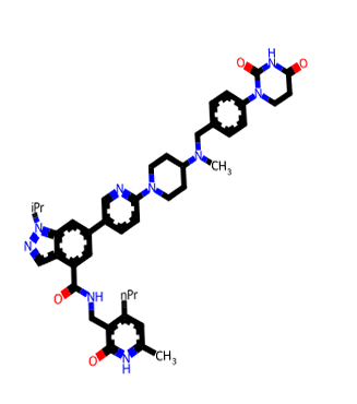 CCCc1cc(C)[nH]c(=O)c1CNC(=O)c1cc(-c2ccc(N3CCC(N(C)Cc4ccc(N5CCC(=O)NC5=O)cc4)CC3)nc2)cc2c1cnn2C(C)C